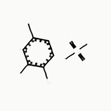 Cc1ccc([N+](=O)[O-])c(F)c1.O=S(=O)(Cl)Cl